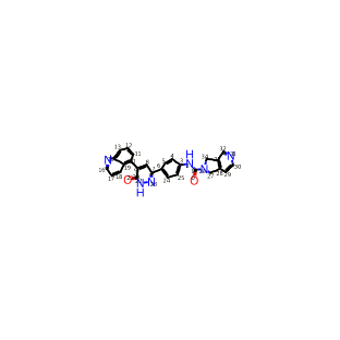 O=C(Nc1ccc(-c2cc(-c3cccc4ncccc34)c(=O)[nH]n2)cc1)N1Cc2ccncc2C1